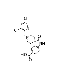 O=C(O)c1ccc2c(c1)C1(CCN(Cc3ncc(Cl)cc3Cl)CC1)C(=O)N2